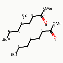 COC(=O)CCCCCC(C)(C)C.COC(=O)CCCCCC(C)(C)C.[Sn]